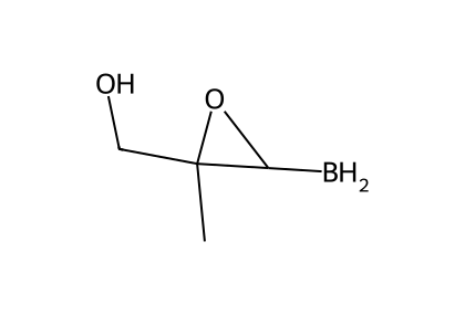 BC1OC1(C)CO